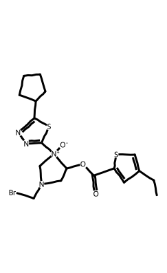 CCc1csc(C(=O)OC2CN(CBr)C[N+]2([O-])c2nnc(C3CCCC3)s2)c1